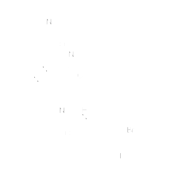 CC1Cc2nn3c(c2CN1C(=O)Nc1ccc(F)c(Br)c1)C(=O)N(C)OC(CN(C)C)C3